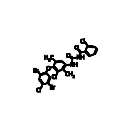 Cc1cc(NC(=O)NC(=O)c2ccccc2Cl)c(C)c(Cl)c1Oc1cc(Br)c(Cl)cc1Br